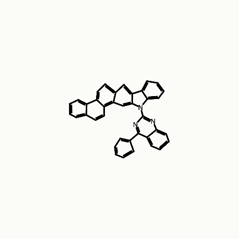 c1ccc(-c2nc(-n3c4ccccc4c4cc5ccc6c7ccccc7ccc6c5cc43)nc3ccccc23)cc1